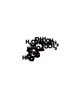 CC(C)C(O)C(=O)N[C@H]1Cc2ccc3c(c2)C24c5cccc(c5NC2O3)-c2cccc3[nH]cc(c23)-c2cnc(o2)-c2nc(oc24)[C@H](C(C)C)NC1=O